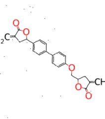 C=C1CC(COc2ccc(-c3ccc(C4CC(=C)C(=O)O4)cc3)cc2)OC1=O